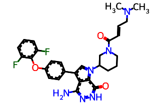 CN(C)C/C=C/C(=O)N1CCCC(n2cc(-c3ccc(Oc4c(F)cccc4F)cc3)c3c(N)n[nH]c(=O)c32)C1